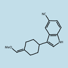 COC=C1CCC(c2c[nH]c3ccc(C#N)cc23)CC1